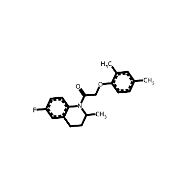 Cc1ccc(OCC(=O)N2c3ccc(F)cc3CCC2C)c(C)c1